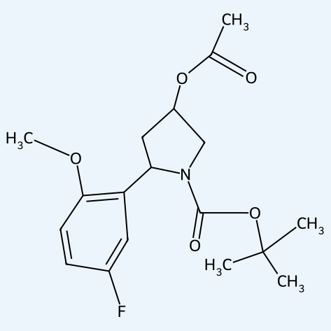 COc1ccc(F)cc1C1CC(OC(C)=O)CN1C(=O)OC(C)(C)C